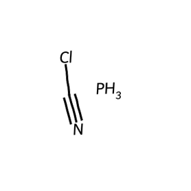 N#CCl.P